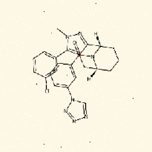 Cn1nc2c(c1-c1cccc(Cl)c1)C[C@H]1CCC[C@@H]2N1C(=O)c1cccc(-n2cnnn2)c1